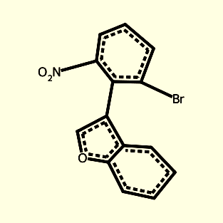 O=[N+]([O-])c1cccc(Br)c1-c1coc2ccccc12